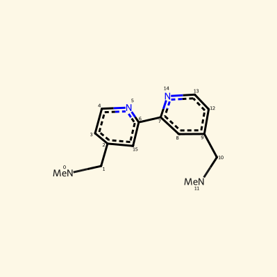 CNCc1ccnc(-c2cc(CNC)ccn2)c1